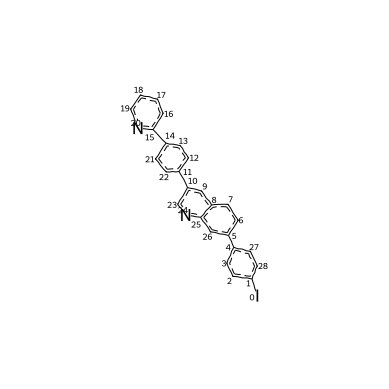 Ic1ccc(-c2ccc3cc(-c4ccc(-c5ccccn5)cc4)cnc3c2)cc1